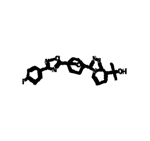 CC(C)(O)c1cccn2c(C34CCC(c5nc(-c6ccc(F)cc6)no5)(CC3)CC4)nnc12